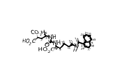 O=C(O)CCC(NC(=O)N[C@@H](CCCCNCc1cccc2ccccc12)C(=O)O)C(=O)O